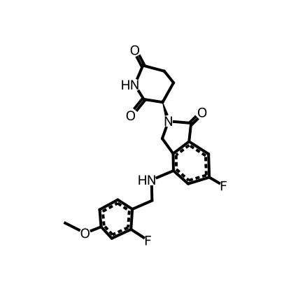 COc1ccc(CNc2cc(F)cc3c2CN([C@@H]2CCC(=O)NC2=O)C3=O)c(F)c1